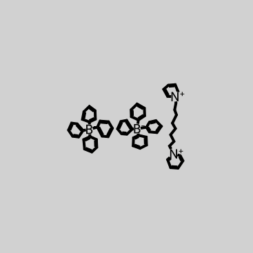 c1cc[n+](CCCCCCCC[n+]2ccccc2)cc1.c1ccc([B-](c2ccccc2)(c2ccccc2)c2ccccc2)cc1.c1ccc([B-](c2ccccc2)(c2ccccc2)c2ccccc2)cc1